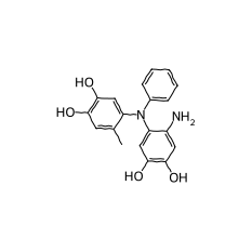 Cc1cc(O)c(O)cc1N(c1ccccc1)c1cc(O)c(O)cc1N